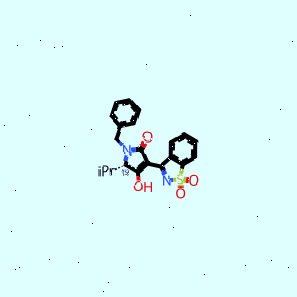 CC(C)[C@H]1C(O)=C(C2=NS(=O)(=O)c3ccccc32)C(=O)N1Cc1ccccc1